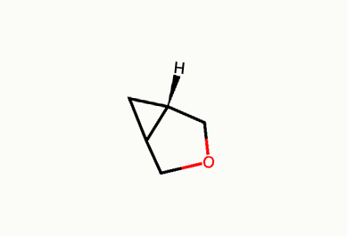 C1OC[C@H]2CC12